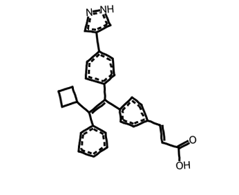 O=C(O)C=Cc1ccc(/C(=C(\c2ccccc2)C2CCC2)c2ccc(-c3cn[nH]c3)cc2)cc1